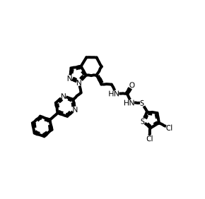 O=C(NC/C=C1\CCCc2cnn(Cc3ncc(-c4ccccc4)cn3)c21)NSc1cc(Cl)c(Cl)s1